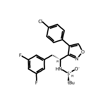 CC(C)(C)[S@+]([O-])N[C@H](Cc1cc(F)cc(F)c1)c1nocc1-c1ccc(Cl)cc1